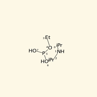 CC(C)NC(C)C.CCOP(O)O